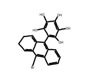 Oc1c(O)c(O)c(-c2c3c(c(Br)c4ccccc24)=CCCC=3)c(O)c1O